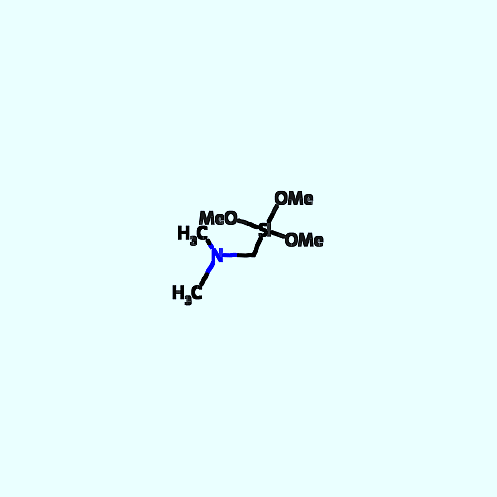 CO[Si](CN(C)C)(OC)OC